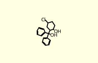 OC1CCC(Cl)CC1C(O)(c1ccccc1)c1ccccc1